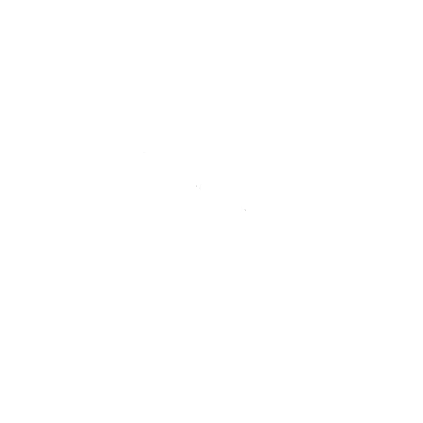 CC(C)(C=O)CN1CCN(Cc2ccccc2)CC1